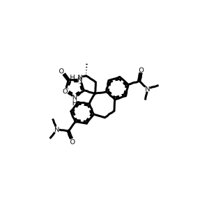 C[C@@H](N)CC1(c2nc(=O)o[nH]2)c2ccc(C(=O)N(C)C)cc2CCc2cc(C(=O)N(C)C)ccc21